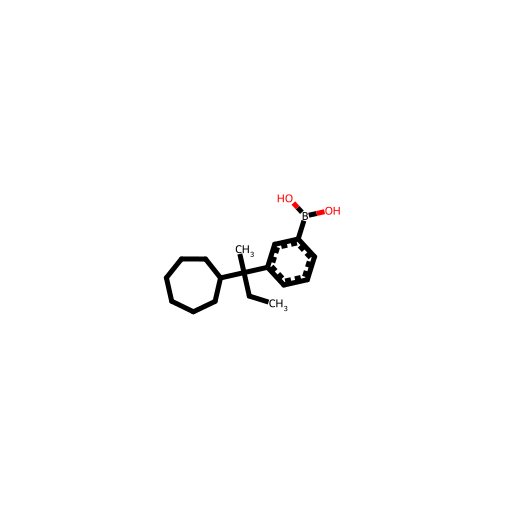 CCC(C)(c1cccc(B(O)O)c1)C1CCCCCC1